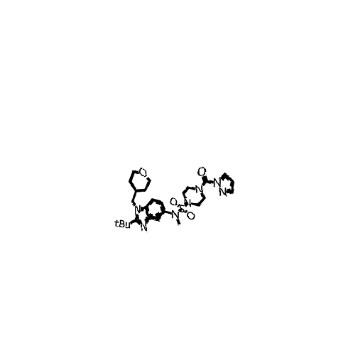 CN(c1ccc2c(c1)nc(C(C)(C)C)n2CC1CCOCC1)S(=O)(=O)N1CCN(C(=O)n2cccn2)CC1